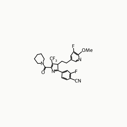 COc1ncc(CCC2C(c3ccc(C#N)c(F)c3)=NC(C(=O)N3CCCCC3)=C2C(F)(F)F)cc1F